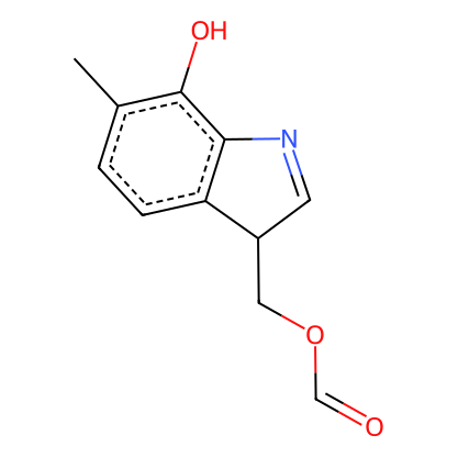 Cc1ccc2c(c1O)N=CC2COC=O